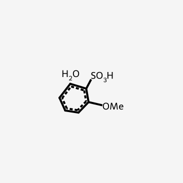 COc1ccccc1S(=O)(=O)O.O